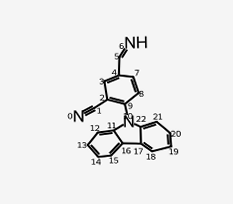 N#Cc1cc(C=N)ccc1-n1c2ccccc2c2ccccc21